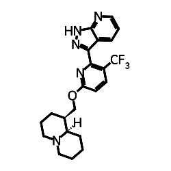 FC(F)(F)c1ccc(OC[C@@H]2CCCN3CCCC[C@H]23)nc1-c1n[nH]c2ncccc12